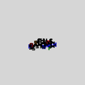 Cc1cncc(F)c1C(=O)Nc1ccc(-c2cc(-c3ccno3)sc2C)cn1